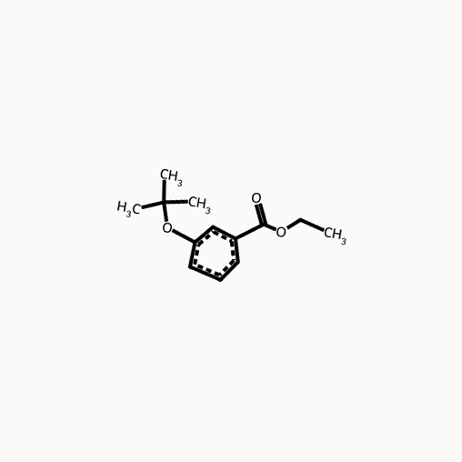 CCOC(=O)c1cccc(OC(C)(C)C)c1